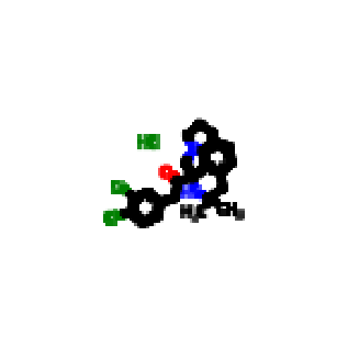 CC1(C)Cc2ccccc2C(CN2CCCC2)(C(=O)Cc2ccc(Cl)c(Cl)c2)N1.Cl